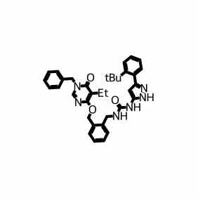 CCc1c(OCc2ccccc2CNC(=O)Nc2cc(-c3ccccc3C(C)(C)C)n[nH]2)ncn(Cc2ccccc2)c1=O